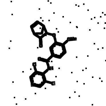 COc1ccc(C(=O)Nc2c(Cl)cncc2Cl)cc1OC1C(=O)C2C=CC1C2